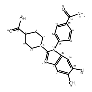 Cc1cc2nc(N3CCC(C(=O)O)CC3)n(-c3ccc(C(N)=O)cc3)c2cc1Cl